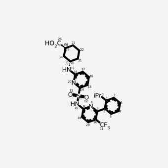 CC(C)c1ccccc1-c1nc(NS(=O)(=O)c2cccc(N[C@H]3CCC[C@H](C(=O)O)C3)n2)ccc1C(F)(F)F